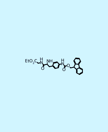 CCOC(=O)CNC(=O)[C@@H](N)Cc1ccc(NC(=O)OCC2c3ccccc3-c3ccccc32)cc1